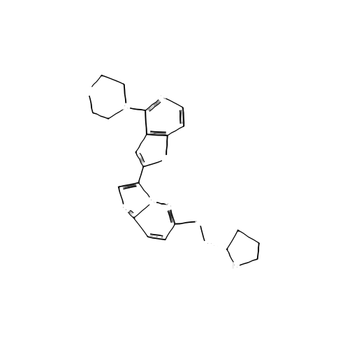 c1cc2oc(-c3cnc4ccc(OC[C@@H]5CCCN5)nn34)cc2c(N2CCOCC2)n1